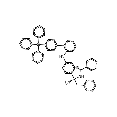 N=C(N[C@](N)(Cc1ccccc1)c1ccc(Nc2ccccc2-c2ccc([Si](c3ccccc3)(c3ccccc3)c3ccccc3)cc2)cc1)c1ccccc1